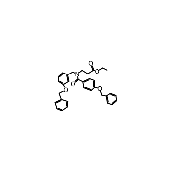 CCOC(=O)CCN(Cc1cccc(OCc2ccccc2)c1)C(=O)c1ccc(OCc2ccccc2)cc1